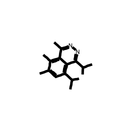 Cc1cc(C(C)C)c2c(C(C)C)nnc(C)c2c1C